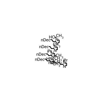 CCCCCCCCCCCCC1=NC(C)(C)CN1.CCCCCCCCCCCCC1=NC(C)(C)CN1C(C)C.CCCCCCCCCCCCC1=NCCN1C.CCCCCCCCCCCCC1=NCCN1C(C)C.CCCCCCCCCCCCC1=NCCN1C(C)O